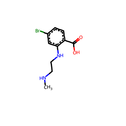 CNCCNc1cc(Br)ccc1C(=O)O